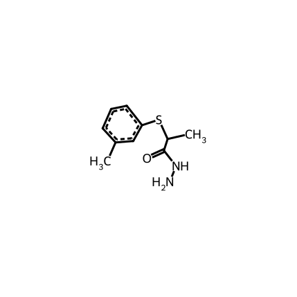 Cc1cccc(SC(C)C(=O)NN)c1